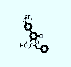 O=C(O)C(Cc1ccccc1)Oc1c(Cl)cc(-c2ccc(OC(F)(F)F)cc2)cc1Cl